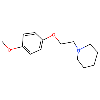 COc1ccc(OCCN2CCCCC2)cc1